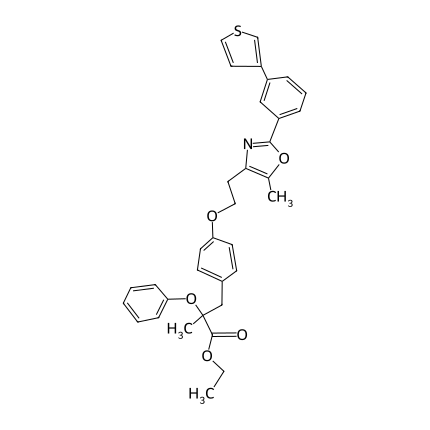 CCOC(=O)C(C)(Cc1ccc(OCCc2nc(-c3cccc(-c4ccsc4)c3)oc2C)cc1)Oc1ccccc1